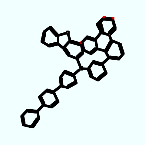 c1ccc(-c2ccc(-c3ccc(N(c4cccc(-c5cccc(-c6ccccc6)c5-c5ccccc5-c5ccccc5)c4)c4ccc5oc6ccccc6c5c4)cc3)cc2)cc1